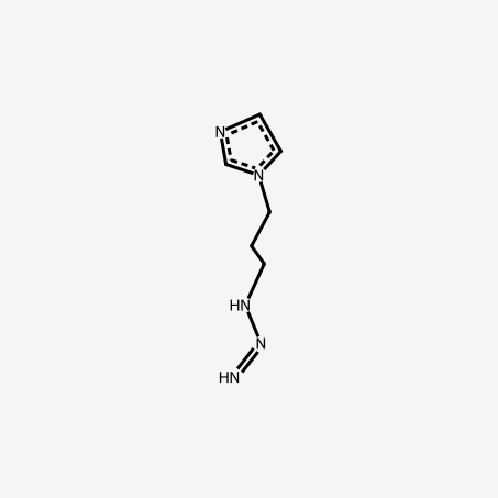 N=NNCCCn1ccnc1